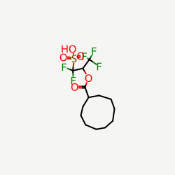 O=C(OC(C(F)(F)F)C(F)(F)S(=O)(=O)O)C1CCCCCCCCC1